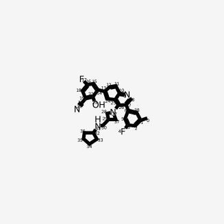 Cc1cc(F)cc(-c2cnc3ccc(-c4cc(F)cc(C#N)c4O)cc3c2N2CC(CNC3CCCC3)C2)c1